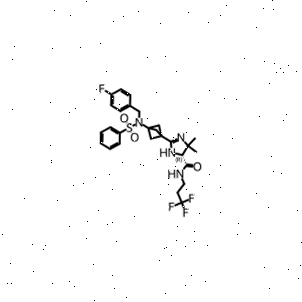 CC1(C)N=C(C23CC(N(Cc4ccc(F)cc4)S(=O)(=O)c4ccccc4)(C2)C3)N[C@H]1C(=O)NCCC(F)(F)F